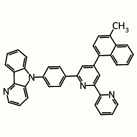 Cc1ccc(-c2cc(-c3ccc(-n4c5ccccc5c5ncccc54)cc3)nc(-c3ccccn3)c2)c2ccccc12